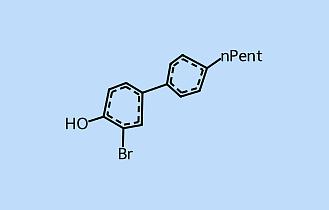 CCCCCc1ccc(-c2ccc(O)c(Br)c2)cc1